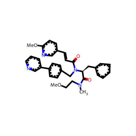 COCCN(C)C(=O)[C@H](Cc1ccccc1)N(Cc1ccc(-c2cccnc2)cc1)C(=O)/C=C/c1ccc(OC)nc1